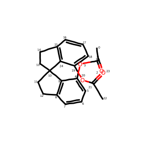 CC(=O)Oc1cccc2c1C1(CC2)CCc2cccc(OC(C)=O)c21